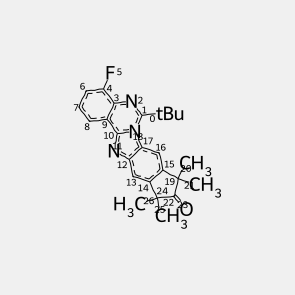 CC(C)(C)c1nc2c(F)cccc2c2nc3cc4c(cc3n12)C(C)(C)C(=O)C4(C)C